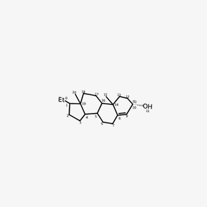 CCC1CCC2C3CCC4=C[C@@H](O)CCC4(C)C3CCC12C